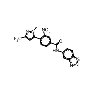 Cn1nc(C(F)(F)F)cc1-c1ccc(C(=O)Nc2ccc3snnc3c2)cc1[N+](=O)[O-]